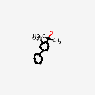 CC(O)(C(=O)O)c1ccc(-c2ccccc2)cc1[N+](=O)[O-]